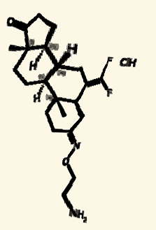 C[C@]12CCC(=NOCCN)CC1C(=C(F)F)C[C@@H]1[C@@H]2CC[C@]2(C)C(=O)CC[C@@H]12.Cl